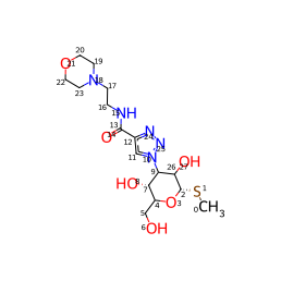 CS[C@@H]1OC(CO)[C@H](O)C(n2cc(C(=O)NCCN3CCOCC3)nn2)C1O